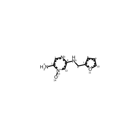 Nc1cnc(NCc2ccco2)c[n+]1[O-]